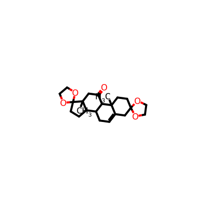 CC12CCC3(CC1=CCC1C2C(=O)CC2(C)C1CCC21OCCO1)OCCO3